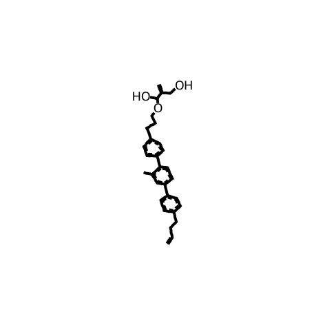 C=CCCc1ccc(-c2ccc(-c3ccc(CCCOC(O)C(=C)CO)cc3)c(C)c2)cc1